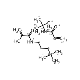 C=C(C)C(=O)NCCC[N+](C)(C)C.C=CC(=O)NC(C)(C)C